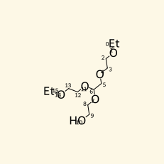 CCOCCOCC(OCCO)OCCOCC